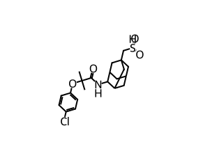 CC(C)(Oc1ccc(Cl)cc1)C(=O)NC1C2CC3CC1CC(C[SH](=O)=O)(C3)C2